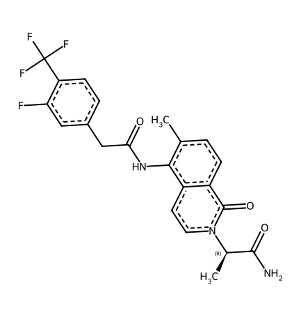 Cc1ccc2c(=O)n([C@H](C)C(N)=O)ccc2c1NC(=O)Cc1ccc(C(F)(F)F)c(F)c1